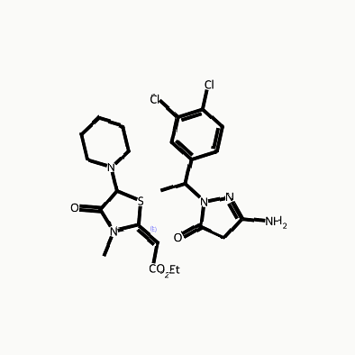 CC(c1ccc(Cl)c(Cl)c1)N1N=C(N)CC1=O.CCOC(=O)/C=C1/SC(N2CCCCC2)C(=O)N1C